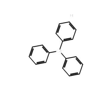 [H-].c1cc[c]([Ge+]([c]2ccccc2)[c]2ccccc2)cc1